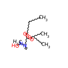 CCCCCCCC/C=C\CCCCCCCC(=O)OCC(CCCCN(CCN(C)CCO)C1CCC1)COC(=O)CC(CCCCCC)CCCCCCCC